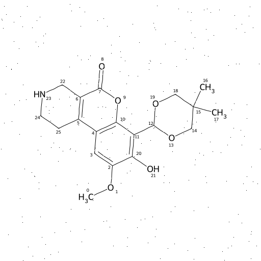 COc1cc2c3c(c(=O)oc2c(C2OCC(C)(C)CO2)c1O)CNCC3